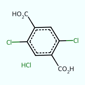 Cl.O=C(O)c1cc(Cl)c(C(=O)O)cc1Cl